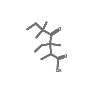 CCC(C)(C)C(=O)C(C)(CC)C(C)C(=O)O